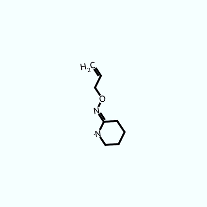 C=CCON=C1CCCC[N]1